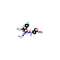 C/C=N/N=C/[C@H](CC(=O)Nc1ccc2c(c1)CCO/C2=N\OCC)/N=C(/c1ccc(Cl)cc1)c1c(C)sc(C)c1C